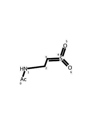 CC(=O)NCC=S(=O)=O